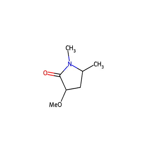 COC1CC(C)N(C)C1=O